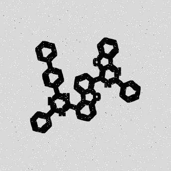 c1ccc(-c2ccc(-c3nc(-c4ccccc4)nc(-c4cccc5oc6c(-c7nc(-c8ccccc8)nc8c7oc7ccccc78)cccc6c45)n3)cc2)cc1